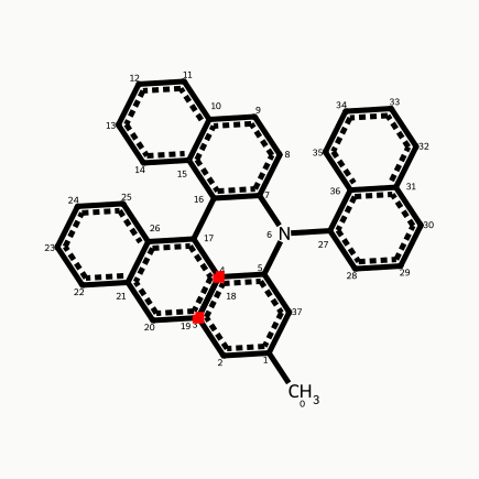 Cc1cccc(N(c2ccc3ccccc3c2-c2cccc3ccccc23)c2cccc3ccccc23)c1